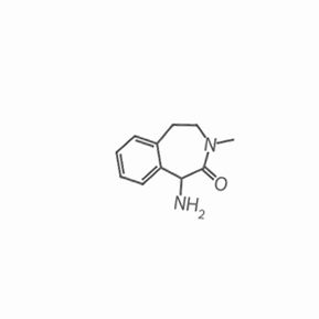 CN1CCc2ccccc2C(N)C1=O